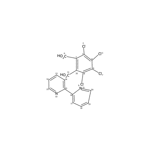 O=C(O)c1c(Cl)c(Cl)c(Cl)c(Cl)c1C(=O)O.c1ccc(-c2ccccn2)nc1